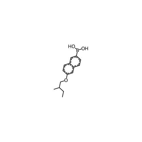 CCC(C)COc1ccc2cc(B(O)O)ccc2c1